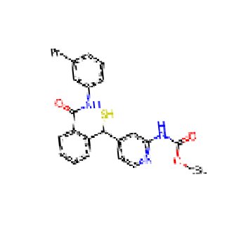 CC(C)c1cccc(NC(=O)c2ccccc2C(S)c2ccnc(NC(=O)OC(C)(C)C)c2)c1